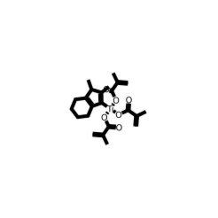 C=C(C)C(=O)[O][Ti]([O]C(=O)C(=C)C)([O]C(=O)C(=C)C)[C]1=C(C)C(C)C2=C1CCCC2